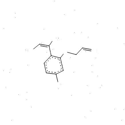 C=CCOc1cc(C)ccc1/C(=C\C)OC